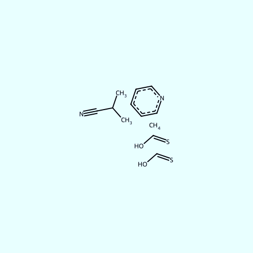 C.CC(C)C#N.OC=S.OC=S.c1ccncc1